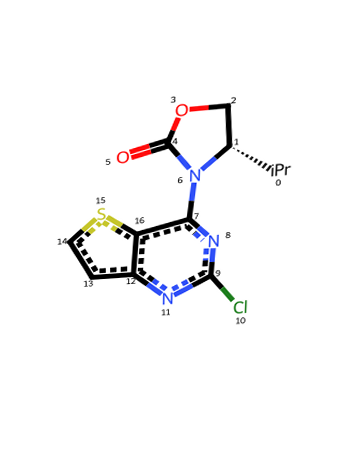 CC(C)[C@H]1COC(=O)N1c1nc(Cl)nc2ccsc12